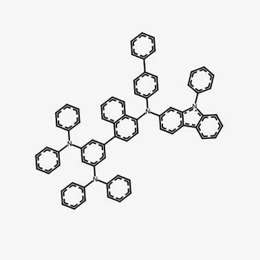 c1ccc(-c2ccc(N(c3ccc4c5ccccc5n(-c5ccccc5)c4c3)c3ccc(-c4cc(N(c5ccccc5)c5ccccc5)cc(N(c5ccccc5)c5ccccc5)c4)c4ccccc34)cc2)cc1